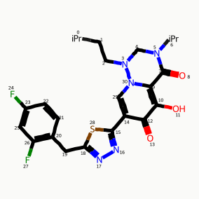 CC(C)CCN1CN(C(C)C)C(=O)c2c(O)c(=O)c(-c3nnc(Cc4ccc(F)cc4F)s3)cn21